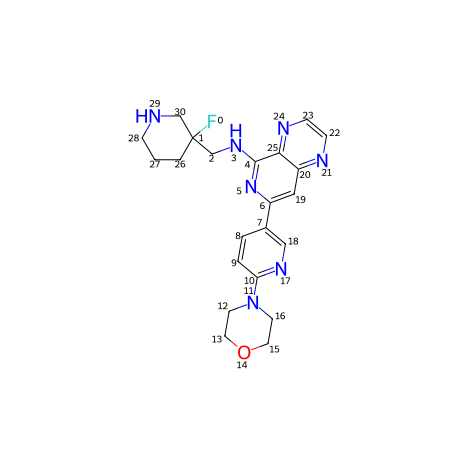 FC1(CNc2nc(-c3ccc(N4CCOCC4)nc3)cc3nccnc23)CCCNC1